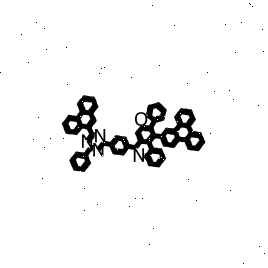 c1ccc(-c2nc(-c3ccc(-c4nc5ccccc5c5c(-c6ccc7c8ccccc8c8ccccc8c7c6)c6c(cc45)oc4ccccc46)cc3)nc(-c3cc4ccccc4c4ccccc34)n2)cc1